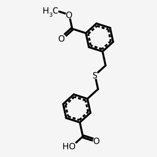 COC(=O)c1cccc(CSCc2cccc(C(=O)O)c2)c1